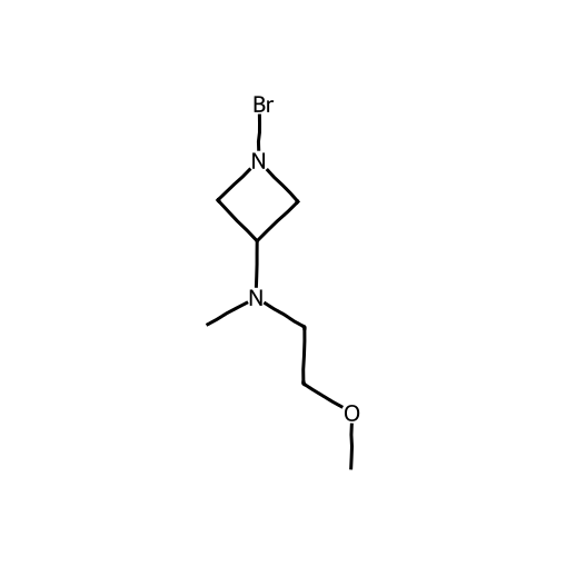 COCCN(C)C1CN(Br)C1